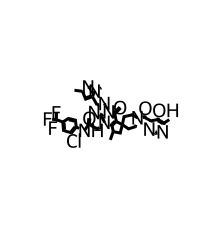 Cc1cc(-c2nc3n(CC(=O)Nc4ccc(C(F)(F)F)cc4Cl)c4c(c(=O)n3n2)C2(CCN(C(=O)c3ncnc(C)c3O)CC2)CC4C)n(C)n1